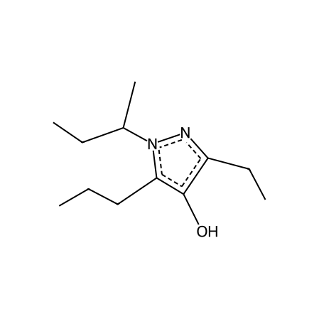 CCCc1c(O)c(CC)nn1C(C)CC